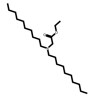 CCCCCCCCCCN(CCCCCCCCCC)CC(=O)OCC